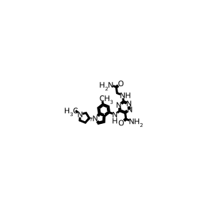 Cc1cc(Nc2nc(NCC(N)=O)nnc2C(N)=O)c2ccn([C@@H]3CCN(C)C3)c2c1